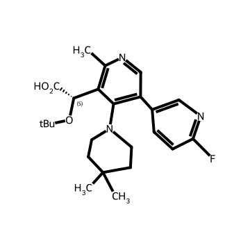 Cc1ncc(-c2ccc(F)nc2)c(N2CCC(C)(C)CC2)c1[C@H](OC(C)(C)C)C(=O)O